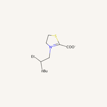 CCCCC(CC)C[N+]1=C(C(=O)[O-])SCC1